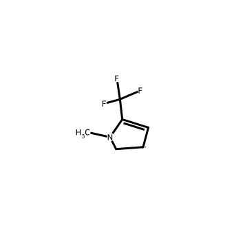 CN1C[CH]C=C1C(F)(F)F